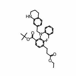 CCOC(=O)CCc1ccc(C(=O)OC(C)(C)C)c(N(Cc2ccc3c(c2)NCCC3)c2ccccc2C)c1F